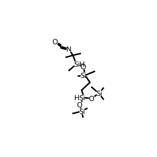 C[SiH](O[Si](C)(C)CC[SiH](O[Si](C)(C)C)O[Si](C)(C)C)C(C)(C)N=C=O